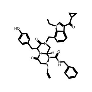 C=CCN1CC(=O)N2[C@@H](Cc3ccc(O)cc3)C(=O)N(Cc3cccc4c(C(=O)C5CC5)cn(CC)c34)C[C@@H]2N1C(=O)NCc1ccccc1